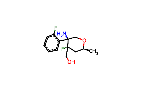 C[C@H]1C[C@@](F)(CO)[C@](N)(c2ccccc2F)CO1